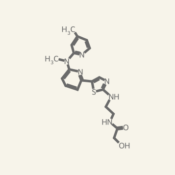 Cc1ccnc(N(C)c2cccc(-c3cnc(NCCNC(=O)CO)s3)n2)c1